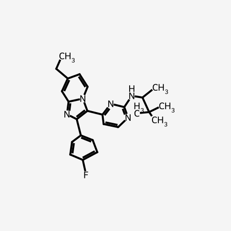 CCc1ccn2c(-c3ccnc(NC(C)C(C)(C)C)n3)c(-c3ccc(F)cc3)nc2c1